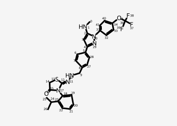 CNc1cc(-c2ccc(CN/N=C3\SCC(=O)N3c3ccccc3C(C)C)cc2)nn1-c1ccc(OC(F)(F)F)cc1